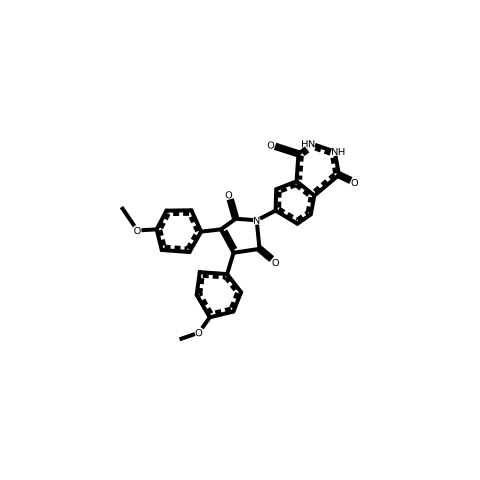 COc1ccc(C2=C(c3ccc(OC)cc3)C(=O)N(c3ccc4c(=O)[nH][nH]c(=O)c4c3)C2=O)cc1